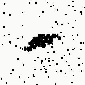 Bc1ccc(C(=O)N[C@H]2C3CC4CC2C[C@](O)(C4)C3)c(C#N)c1